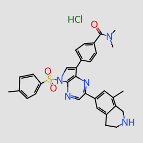 Cc1ccc(S(=O)(=O)n2cc(-c3ccc(C(=O)N(C)C)cc3)c3nc(-c4cc(C)c5c(c4)CCNC5)cnc32)cc1.Cl